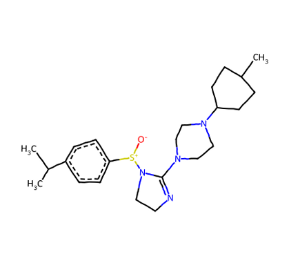 CC1CCC(N2CCN(C3=NCCN3[S+]([O-])c3ccc(C(C)C)cc3)CC2)CC1